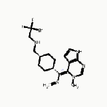 C=N/C(=C1/c2cc[nH]c2N=CN1N)[C@H]1CC[C@H](CNCC(F)(F)Br)CC1